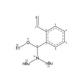 C=Cc1ccccc1C(OCC)N(CCCC)CCCC